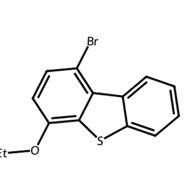 CCOc1ccc(Br)c2c1sc1ccccc12